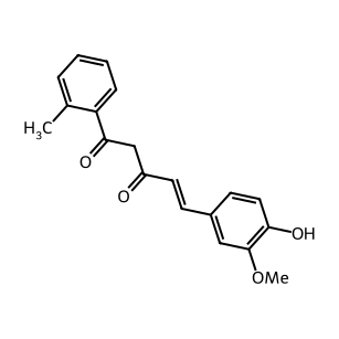 COc1cc(/C=C/C(=O)CC(=O)c2ccccc2C)ccc1O